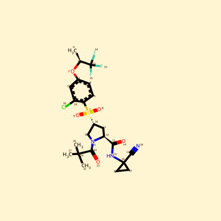 C[C@H](Oc1ccc(S(=O)(=O)[C@@H]2C[C@@H](C(=O)NC3(C#N)CC3)N(C(=O)C(C)(C)C)C2)c(Cl)c1)C(F)(F)F